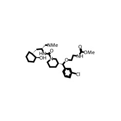 CNC[C@@H](C[C@H]1CCCC[C@@H]1O)NC(=O)N1CCC[C@@H](C(OCCNC(=O)OC)c2cccc(Cl)c2)C1